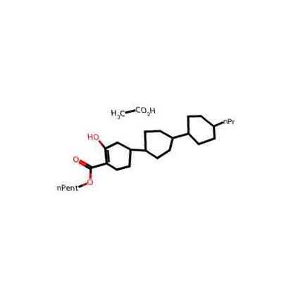 CC(=O)O.CCCCCOC(=O)C1=C(O)CC(C2CCC(C3CCC(CCC)CC3)CC2)CC1